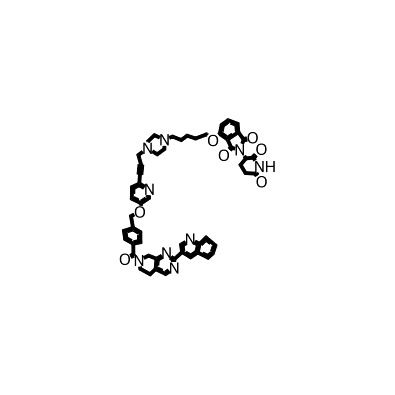 O=C1CCC(N2C(=O)c3cccc(OCCCCCN4CCN(CC#Cc5ccc(OCc6ccc(C(=O)N7CCc8cnc(-c9cnc%10ccccc%10c9)nc8C7)cc6)cn5)CC4)c3C2=O)C(=O)N1